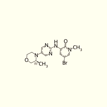 C[C@H]1COCCN1c1cnc(Nc2cc(Br)cn(C)c2=O)nc1